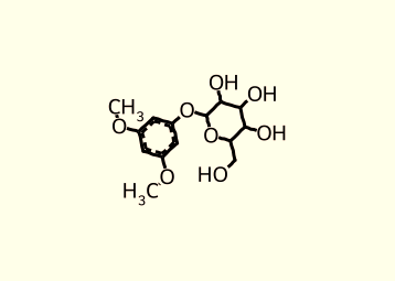 COc1cc(OC)cc(OC2OC(CO)C(O)C(O)C2O)c1